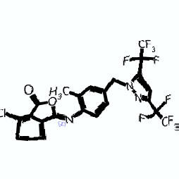 Cc1cc(Cn2nc(C(F)(F)C(F)(F)F)cc2C(F)(F)C(F)(F)F)ccc1/N=C1\OC(=O)c2c(Cl)cccc21